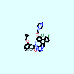 COC(=O)[C@@H](Cc1ccccc1OCC1CC1)Nc1ncnn2cc3c4ccc(F)cc4c4c(Cl)c(OCCN5CCN(C)CC5)ccc4c3c12